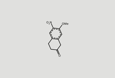 COc1cc2c(cc1[N+](=O)[O-])CCC(=O)C2